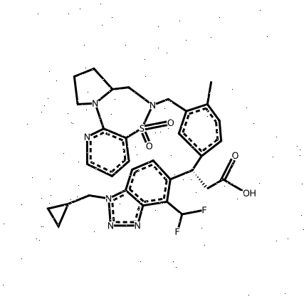 Cc1ccc([C@H](CC(=O)O)c2ccc3c(nnn3CC3CC3)c2C(F)F)cc1CN1CC2CCCN2c2ncccc2S1(=O)=O